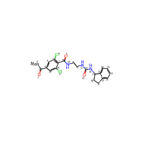 CNC(=O)c1cc(Cl)c(C(=O)NCCNC(=O)N[C@@H]2CCc3ccccc32)c(Cl)c1